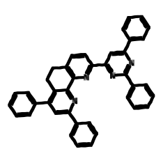 c1ccc(-c2cc(-c3ccc4c(n3)-c3nc(-c5ccccc5)cc(-c5ccccc5)c3CC4)nc(-c3ccccc3)n2)cc1